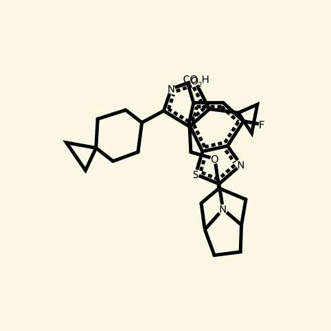 O=C(O)c1cc(F)c2nc(N3C4CCC3CC(OCc3c(C5CCC6(CC5)CC6)noc3C3CC3)C4)sc2c1